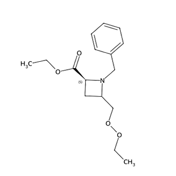 CCOOCC1C[C@@H](C(=O)OCC)N1Cc1ccccc1